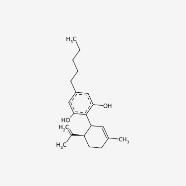 C=C(C)[C@@H]1CCC(C)=CC1c1c(O)cc(CCCCC)cc1O